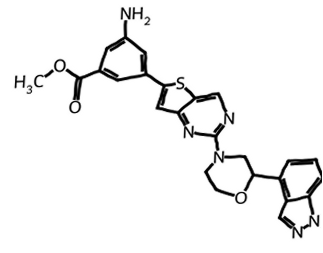 COC(=O)c1cc(N)cc(-c2cc3nc(N4CCOC(c5cccc6[nH]ncc56)C4)ncc3s2)c1